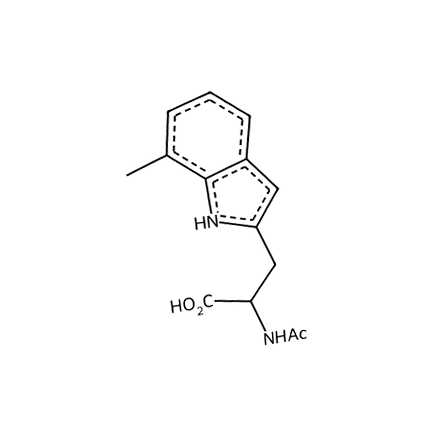 CC(=O)NC(Cc1cc2cccc(C)c2[nH]1)C(=O)O